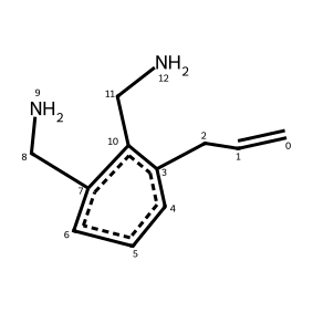 C=CCc1cccc(CN)c1CN